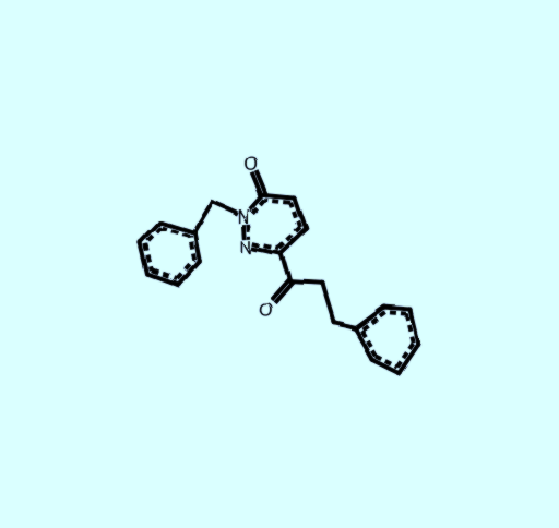 O=C(CCc1ccccc1)c1ccc(=O)n(Cc2ccccc2)n1